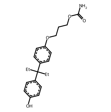 CCC(CC)(c1ccc(O)cc1)c1ccc(OCCCOC(N)=O)cc1